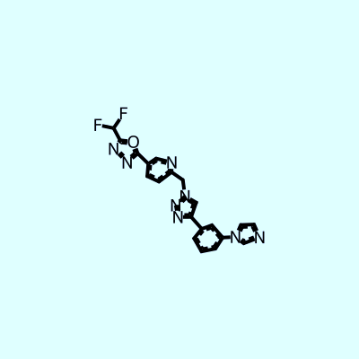 FC(F)c1nnc(-c2ccc(Cn3cc(-c4cccc(-n5ccnc5)c4)nn3)nc2)o1